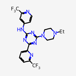 CCN1CCN(c2nc(Nc3ccnc(C(F)(F)F)c3)nc(-c3cccc(C(F)(F)F)n3)n2)CC1